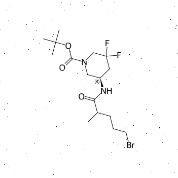 CC(CCCBr)C(=O)N[C@H]1CN(C(=O)OC(C)(C)C)CC(F)(F)C1